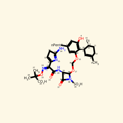 CCCCCc1cc(O)c([C@@H]2C=C(C)CC[C@H]2CC)c(OCOC2[C@H](NC(=O)/C(=N\OC(C)(C)C(=O)O)C3=CCC(N)=N3)C(=O)N2S(=O)(=O)O)c1